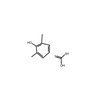 Cc1cccc(C)c1O.OC(=S)S